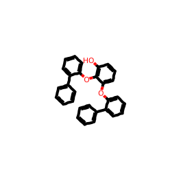 Oc1cccc(Oc2ccccc2-c2ccccc2)c1Oc1ccccc1-c1ccccc1